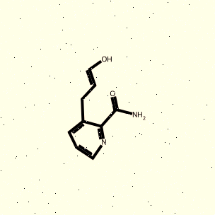 NC(=O)c1ncccc1CC=CO